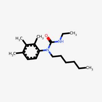 CCCCCCN(C(=O)NCC)c1ccc(C)c(C)c1C